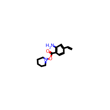 C=Cc1ccc(C(=O)ON2CCCCC2)c(N)c1